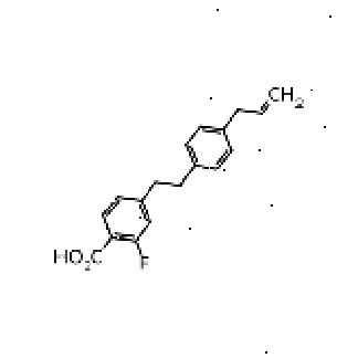 C=CCc1ccc(CCc2ccc(C(=O)O)c(F)c2)cc1